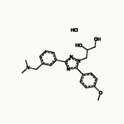 COc1ccc(-c2nc(-c3cccc(CN(C)C)c3)nn2CC(O)CO)cc1.Cl